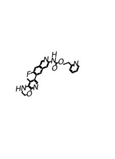 Cc1c(-c2cc3cc(NC(=O)OCCc4ccccn4)ncc3cc2F)cnc2c1NCCO2